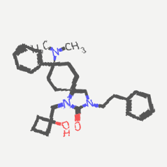 CN(C)[C@]1(c2ccccc2)CC[C@@]2(CC1)CN(CCc1ccccc1)C(=O)N2CC1(O)CCC1